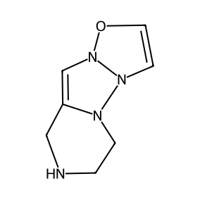 C1=CN2N(C=C3CNCCN32)O1